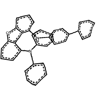 c1ccc(-c2ccc(Nc3cccc4oc5cccc(N(c6ccccc6)c6ccccc6)c5c34)cc2)cc1